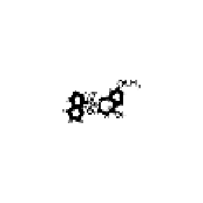 COc1ccc2c(c1)CN(S(=O)(=O)c1cccc3ccccc13)CCC2O